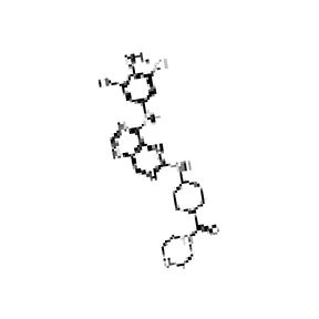 Nc1c(Cl)cc(Nc2ncnc3cnc(NC4CCC(C(=O)N5CCOCC5)CC4)nc23)cc1Cl